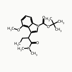 CCC(C(=O)N(C)C)c1cn(C(=O)OC(C)(C)C)c2cccc(OC)c12